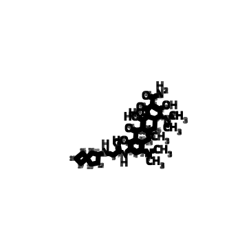 CN(C)c1cc(NC(=O)CNC2CCC3(CCC3)C2)c(O)c2c1C[C@@]1(C)CC3[C@H](N(C)C)C(O)=C(C(N)=O)C(=O)[C@@]3(O)C(O)=C1C2=O